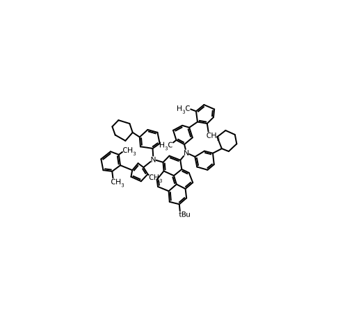 Cc1ccc(-c2c(C)cccc2C)cc1N(c1cccc(C2CCCCC2)c1)c1cc(N(c2cccc(C3CCCCC3)c2)c2cc(-c3c(C)cccc3C)ccc2C)c2ccc3cc(C(C)(C)C)cc4ccc1c2c43